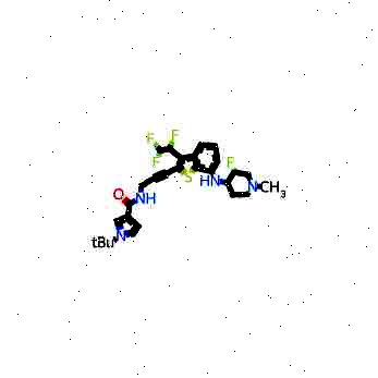 CN1CCC(Nc2cccc3c(C(F)C(F)F)c(C#CCNC(=O)c4ccn(C(C)(C)C)c4)sc23)C(F)C1